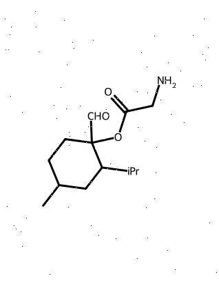 CC1CCC(C=O)(OC(=O)CN)C(C(C)C)C1